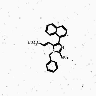 CCCCc1nc(-c2cccc3ccccc23)c(/C=C/C(=O)OCC)n1Cc1ccccc1